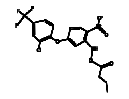 CCCC(=O)ONc1cc(Oc2ccc(C(F)(F)F)cc2Cl)ccc1[N+](=O)[O-]